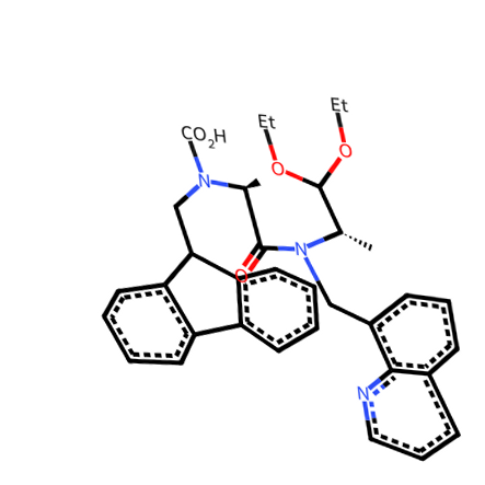 CCOC(OCC)[C@H](C)N(Cc1cccc2cccnc12)C(=O)[C@H](C)N(CC1c2ccccc2-c2ccccc21)C(=O)O